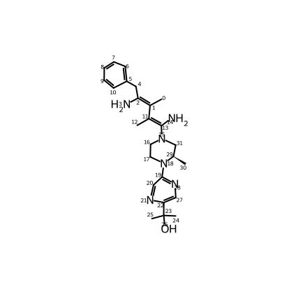 CC(=C(/N)Cc1ccccc1)/C(C)=C(\N)N1CCN(c2cnc(C(C)(C)O)cn2)[C@H](C)C1